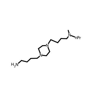 CCCN(C)CCCCN1CCN(CCCCN)CC1